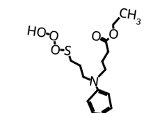 CCOC(=O)CCCN(CCCSOOO)c1ccccc1